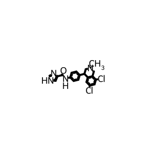 CN1Cc2c(Cl)cc(Cl)cc2C(c2ccc(NC(=O)c3c[nH]cn3)cc2)C1